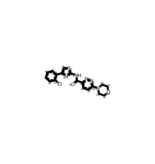 O=C(Nc1nc(-c2ccccc2Cl)cs1)c1ccc(N2CCOCC2)nn1